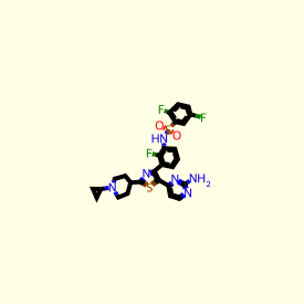 Nc1nccc(-c2sc(C3CCN(C4CC4)CC3)nc2-c2cccc(NS(=O)(=O)c3cc(F)ccc3F)c2F)n1